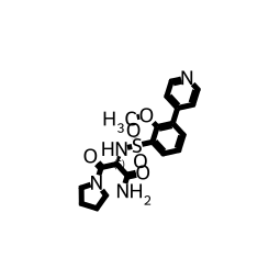 COc1c(-c2ccncc2)cccc1S(=O)(=O)N[C@@H](C(N)=O)C(=O)N1CCCC1